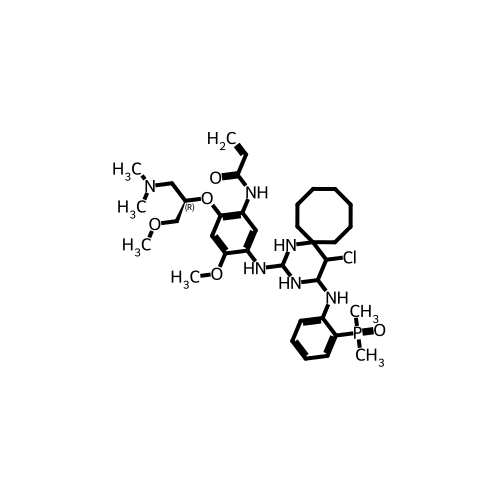 C=CC(=O)Nc1cc(NC2NC(Nc3ccccc3P(C)(C)=O)C(Cl)C3(CCCCCCC3)N2)c(OC)cc1O[C@@H](COC)CN(C)C